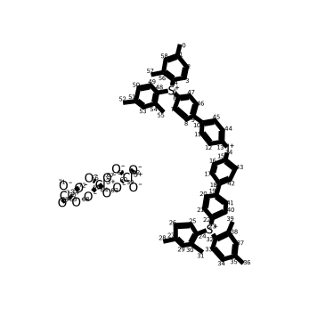 Cc1ccc([S+](c2ccc(-c3ccc([I+]c4ccc(-c5ccc([S+](c6ccc(C)cc6C)c6ccc(C)cc6C)cc5)cc4)cc3)cc2)c2ccc(C)cc2C)c(C)c1.[O-][Cl+3]([O-])([O-])[O-].[O-][Cl+3]([O-])([O-])[O-].[O-][Cl+3]([O-])([O-])[O-]